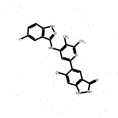 Cc1nc(-c2cc3c(=O)[nH][nH]c3cc2Cl)cc(Nc2n[nH]c3ccc(F)cc23)c1C